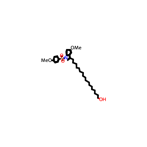 COc1ccc(S(=O)(=O)n2cc(CCCCCCCCCCCCCCCCCCO)c3cc(OC)ccc32)cc1